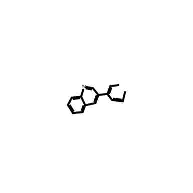 C/C=C\C(=C/C)c1cnc2ccccc2c1